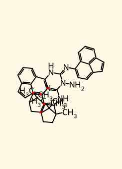 CC1(C)C2CCC1(C)C(N=C(NC1CC3CCC1(C)C3(C)C)N(N)C(=Nc1ccc3c4c(cccc14)C=C3)Nc1ccc3c4c(cccc14)C=C3)C2